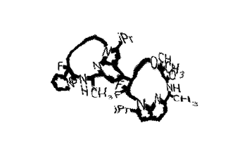 CC(C)c1cc2ccc3nc2n1CC(F)(F)C(c1cc2nc4c1cc(C(C)C)n4CCCCCCC(F)(c1ccccn1)C(=O)NC2C)CCOC(C)(C)C(=O)NC3C